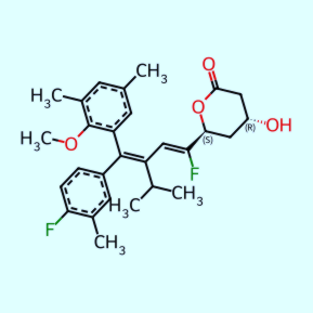 COc1c(C)cc(C)cc1C(=C(C=C(F)[C@@H]1C[C@@H](O)CC(=O)O1)C(C)C)c1ccc(F)c(C)c1